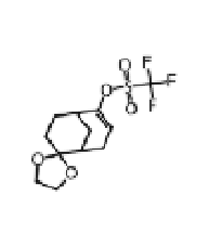 O=S(=O)(OC1=CCC2CC1CCC21OCCO1)C(F)(F)F